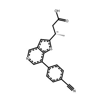 C[C@@H](CC(=O)O)c1cc2cncc(-c3ccc(C#N)cc3)c2s1